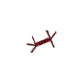 CCCCCCCCCCCCc1cc(N2C(=O)c3ccc4c5ccc6c7ccc8c9ccc%10c%11c(ccc(c%12ccc(c%13ccc(c%14ccc(c3c4%14)C2=O)c5c6%13)c7c8%12)c%119)C(=O)N(c2cc(CCCCCCCCCCCC)c(CCCCCCCCCCCC)c(CCCCCCCCCCCC)c2)C%10=O)cc(CCCCCCCCCCCC)c1CCCCCCCCCCCC